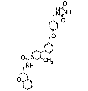 Cc1cc(C(=O)NCC2COc3ccccc3C2)ccc1-c1cccc(COc2ccc(Cn3oc(=O)[nH]c3=O)cc2)c1